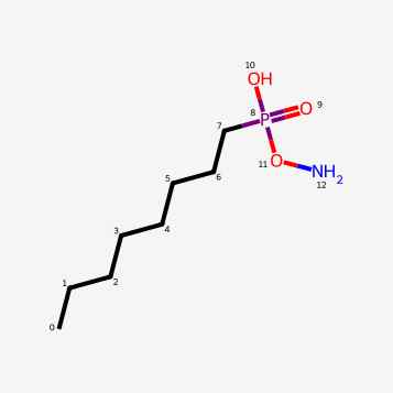 CCCCCCCCP(=O)(O)ON